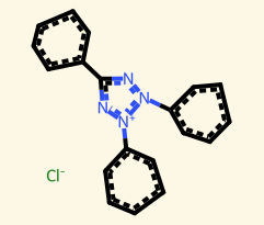 [Cl-].c1ccc(-c2nn(-c3ccccc3)[n+](-c3ccccc3)n2)cc1